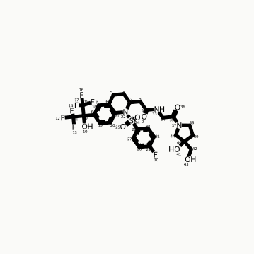 O=C(CC1CCc2cc(C(O)(C(F)(F)F)C(F)(F)F)ccc2N1S(=O)(=O)c1ccc(F)cc1)NCC(=O)N1CCC(O)(CO)C1